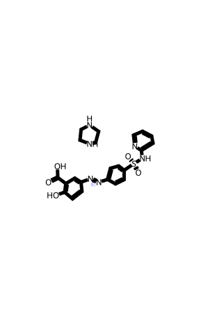 C1CNCCN1.O=C(O)c1cc(/N=N/c2ccc(S(=O)(=O)Nc3ccccn3)cc2)ccc1O